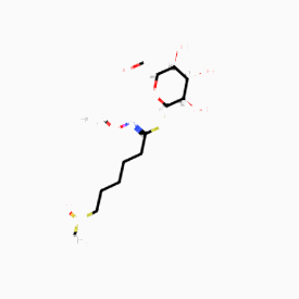 C[S+]([O-])CCCCCC(=NOS(=O)(=O)O)S[C@@H]1O[C@H](CO)[C@@H](O)[C@H](O)[C@H]1O